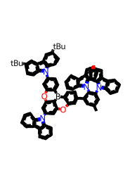 Cc1cc(-c2ccc3c(c2)Oc2cc(-n4c5ccccc5c5ccccc54)cc4c2B3c2ccc(-n3c5ccc(C(C)(C)C)cc5c5cc(C(C)(C)C)ccc53)cc2O4)c(-n2c3ccccc3c3ccccc32)c(-n2c3ccccc3c3ccccc32)c1